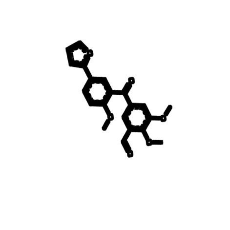 COc1ccc(-c2ccco2)cc1C(=O)c1cc(C=O)c(OC)c(OC)c1